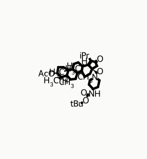 CC(=O)O[C@H]1CC[C@]2(C)[C@H]3CC[C@@H]4C5=C(C(C)C)C(=O)C[C@]5(C(=O)N5CCC(NC(=O)OC(C)(C)C)CC5)CC[C@@]4(C)[C@]3(C)CC[C@H]2C1(C)C